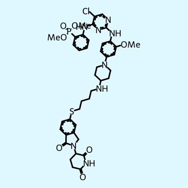 COc1cc(N2CCC(NCCCCSc3ccc4c(c3)CN(C3CCC(=O)NC3=O)C4=O)CC2)ccc1Nc1ncc(Cl)c(Nc2ccccc2P(=O)(OC)OC)n1